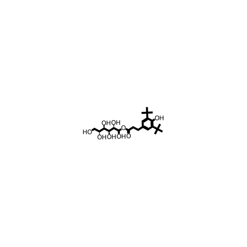 CC(C)(C)c1cc(CCC(=O)OC(O)[C@@H](O)[C@@H](O)[C@H](O)[C@H](O)CO)cc(C(C)(C)C)c1O